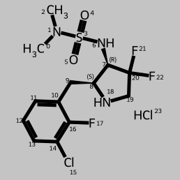 CN(C)S(=O)(=O)N[C@@H]1[C@H](Cc2cccc(Cl)c2F)NCC1(F)F.Cl